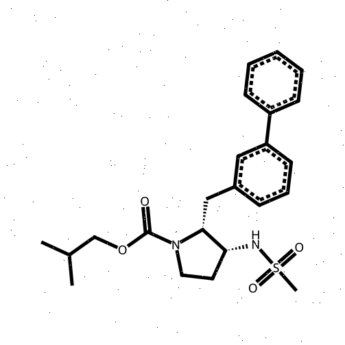 CC(C)COC(=O)N1CC[C@@H](NS(C)(=O)=O)[C@H]1Cc1cccc(-c2ccccc2)c1